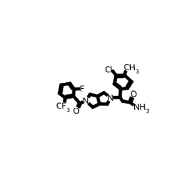 Cc1ccc(C(CC(N)=O)N2CC3CN(C(=O)c4c(F)cccc4C(F)(F)F)CC3C2)cc1Cl